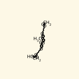 C=CC(=O)OCCCCCCOc1ccc2c(c1)C(C)c1cc(OC(=O)c3ccc(OCCCCCCOC(=O)C(=C)CO)cc3)ccc1-2